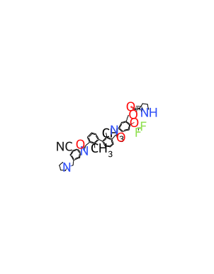 Cc1c(-c2nc3cc(COC(=O)[C@H]4CCCN4)c(OC(F)F)cc3o2)cccc1-c1cccc(-c2nc3cc(CN4CCCC4)cc(C#N)c3o2)c1C